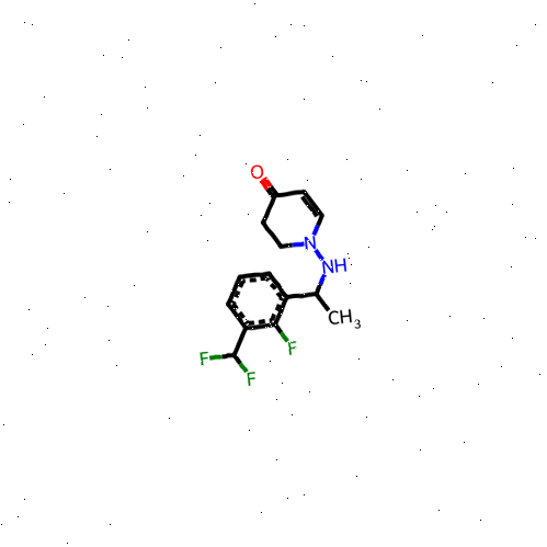 CC(NN1C=CC(=O)CC1)c1cccc(C(F)F)c1F